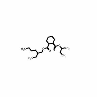 CCCCC(CC)COC(=O)C1CCCCC1C(=O)OC(C)CC